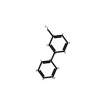 Ic1cc[c]c(-c2ccccc2)c1